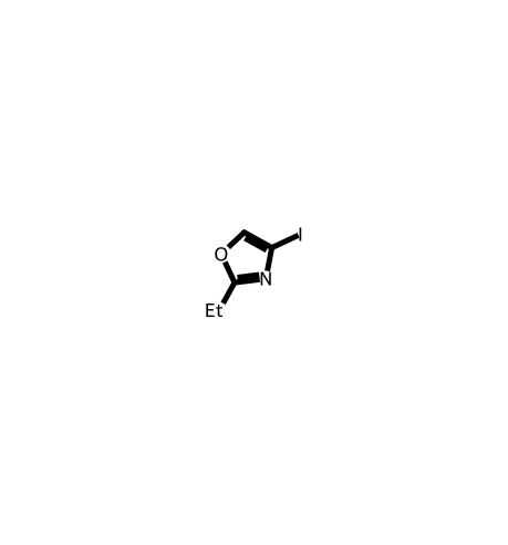 CCc1nc(I)co1